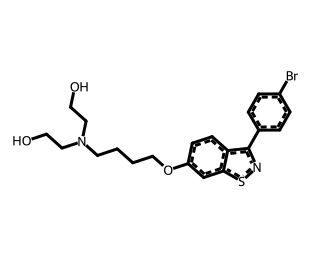 OCCN(CCO)CCCCOc1ccc2c(-c3ccc(Br)cc3)nsc2c1